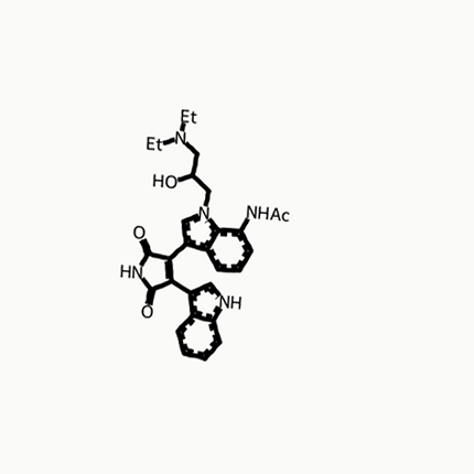 CCN(CC)CC(O)Cn1cc(C2=C(c3c[nH]c4ccccc34)C(=O)NC2=O)c2cccc(NC(C)=O)c21